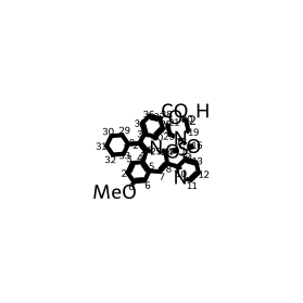 COc1ccc2c(c1)C=C(c1ncccc1S(=O)(=O)N1CCOCC1)Cn1c-2c(C2CCCCC2)c2ccc(C(=O)O)cc21